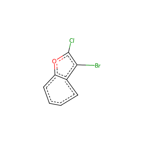 Clc1oc2ccccc2c1Br